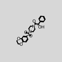 O=C([C@@H](O)c1ccccc1)N1CCN(S(=O)(=O)c2ccc3c(c2)OCCO3)CC1